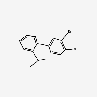 CC(C)c1ccccc1-c1ccc(O)c(Br)c1